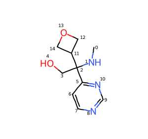 CNC(CO)(c1ccncn1)C1COC1